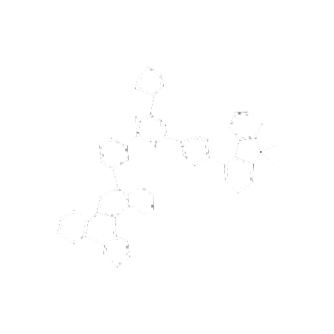 CC1(C)c2ccccc2-c2c(-c3ccc(-c4nc(-c5ccccc5)nc(-c5cccc(-c6cc7c8ccccc8c8ccccc8c7c7ccccc67)c5)n4)cc3)cccc21